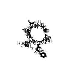 C=C1C(=O)N[C@H](C)C(=O)N[C@@H](CC(C)C)C(=O)N[C@@H](C(=O)O)[C@H](C)C(=O)N[C@@H](CCCN=C(N)N)C(=O)N[C@@H](/C=C/C(C)=C/[C@H](C)[C@H](Cc2ccccc2)OC)[C@H](C)C(=O)N[C@H](C(=O)O)CCC(=O)N1C